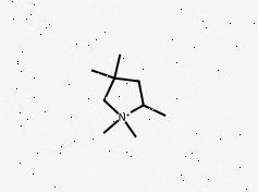 CC1CC(C)(C)C[N+]1(C)C